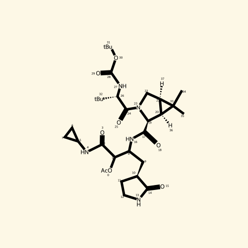 CC(=O)OC(C(=O)NC1CC1)C(C[C@@H]1CCNC1=O)NC(=O)[C@@H]1[C@H]2[C@@H](CN1C(=O)[C@@H](NC(=O)OC(C)(C)C)C(C)(C)C)C2(C)C